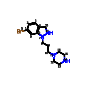 Brc1ccc2c(c1)N(CCCN1CCNCC1)NC2